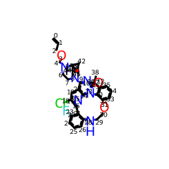 C=CCOCN1CCN(c2nc(=O)n3c4nc(c(Cl)cc24)-c2c(F)cccc2NCCOc2cccc(C(C)C)c2-3)[C@@H]2C[C@@H]21